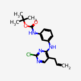 C=CCc1cnc(Cl)nc1Nc1cccc(NC(=O)OC(C)(C)C)c1